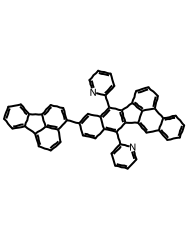 c1ccc(-c2c3c(c(-c4ccccn4)c4cc(-c5ccc6c7c(cccc57)-c5ccccc5-6)ccc24)-c2cccc4c2c-3cc2ccccc24)nc1